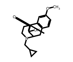 COc1ccc2c(c1)C13CCN(CC4CC4)C(C2)C1(O)CCC(=O)C3